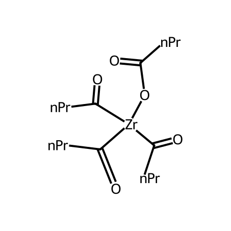 CCCC(=O)[O][Zr]([C](=O)CCC)([C](=O)CCC)[C](=O)CCC